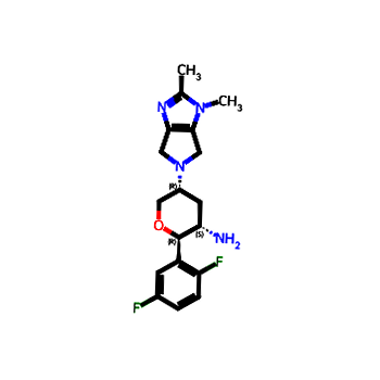 Cc1nc2c(n1C)CN([C@H]1CO[C@H](c3cc(F)ccc3F)[C@@H](N)C1)C2